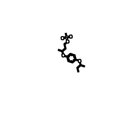 CCC(C)Oc1ccc(OC(C)CCOS(C)(=O)=O)cc1